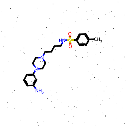 Cc1ccc(S(=O)(=O)NCCCCN2CCN(c3cccc(N)c3)CC2)cc1